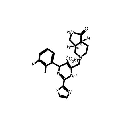 CCOC(=O)C1=C(CN2CC[C@H]3C(=O)NC[C@H]3C2)NC(c2nccs2)=NC1c1cccc(F)c1C